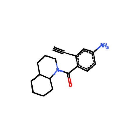 C#Cc1cc(N)ccc1C(=O)N1CCCC2CCCCC21